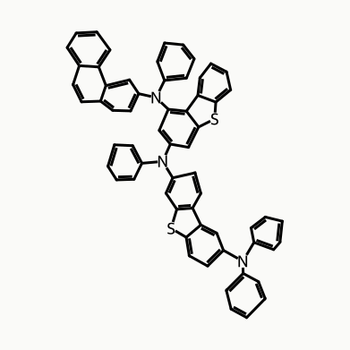 c1ccc(N(c2ccc3c(c2)sc2ccc(N(c4ccccc4)c4ccccc4)cc23)c2cc(N(c3ccccc3)c3ccc4ccc5ccccc5c4c3)c3c(c2)sc2ccccc23)cc1